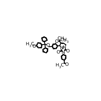 COc1ccc(C(OCc2ccc3c(c2)OC(C)(C)C2=CCn4c(=O)n(-c5ccc(C(C)=O)cc5)c(=O)n4C23)(c2ccccc2)c2ccccc2)cc1